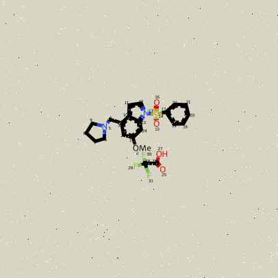 COc1cc(CN2CCCC2)c2ccn(S(=O)(=O)c3ccccc3)c2c1.O=C(O)C(F)(F)F